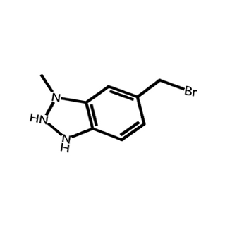 CN1NNc2ccc(CBr)cc21